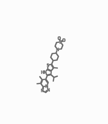 Cc1c(-c2[nH]c3sc(C4CCC(N5CCS(=O)(=O)CC5)CC4)c(C)c3c2C(C)C)cn2ncnc2c1C